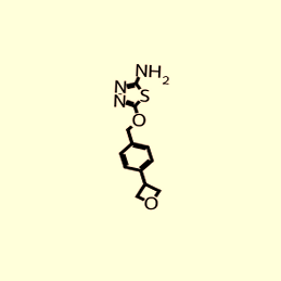 Nc1nnc(OCc2ccc(C3COC3)cc2)s1